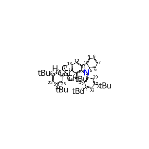 CC(C)(C)c1cc(-n2c3ccccc3c3ccc([Si](C)(C)c4cc(C(C)(C)C)cc(C(C)(C)C)c4)c(C(C)(C)C)c32)cc(C(C)(C)C)c1